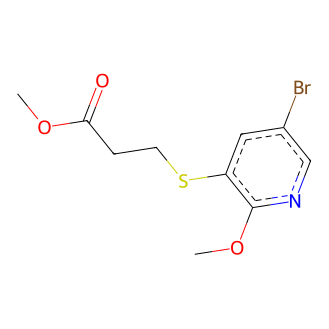 COC(=O)CCSc1cc(Br)cnc1OC